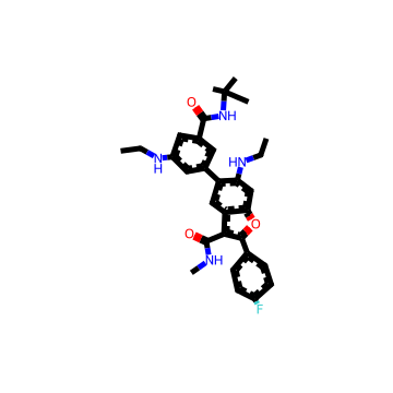 CCNc1cc(C(=O)NC(C)(C)C)cc(-c2cc3c(C(=O)NC)c(-c4ccc(F)cc4)oc3cc2NCC)c1